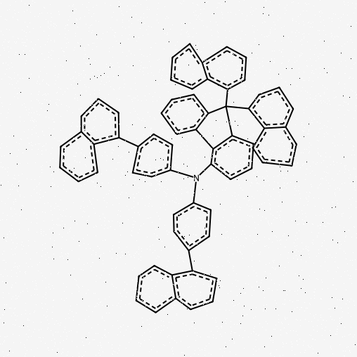 c1ccc2c(c1)-c1c(N(c3ccc(-c4cccc5ccccc45)cc3)c3ccc(-c4cccc5ccccc45)cc3)cccc1C2(c1cccc2ccccc12)c1cccc2ccccc12